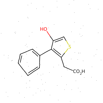 O=C(O)Cc1scc(O)c1-c1ccccc1